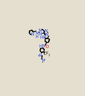 Cc1ccc(C(=O)Nc2ccc(N(C)CCN(C)C)c(C(F)(F)F)c2)cc1Nc1ncnc2cnc(NCc3ccccn3)nc12